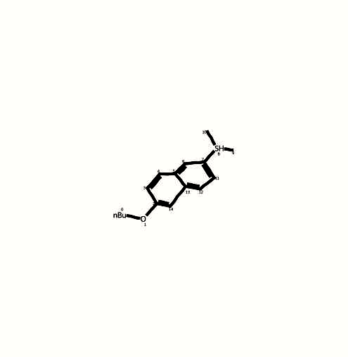 CCCCOc1ccc2cc([SH](C)C)ccc2c1